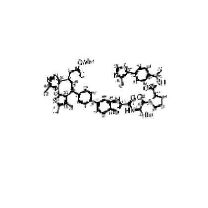 COC(=O)CC1N=C(c2ccc(-c3ccc4sc(C(=O)NC(C(=O)N5CCCC5C(=O)NC(C)c5ccc(-c6scnc6C)cc5)C(C)(C)C)nc4c3)cc2)c2c(sc(C)c2C)-n2c(C)nnc21